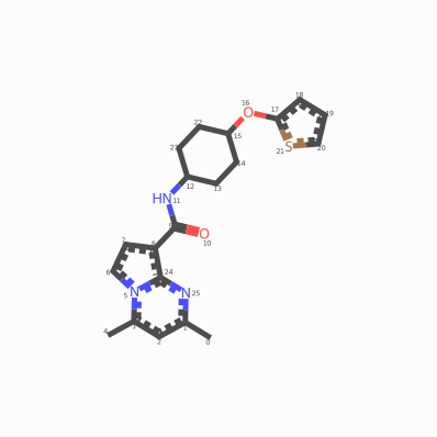 Cc1cc(C)n2ccc(C(=O)NC3CCC(Oc4cccs4)CC3)c2n1